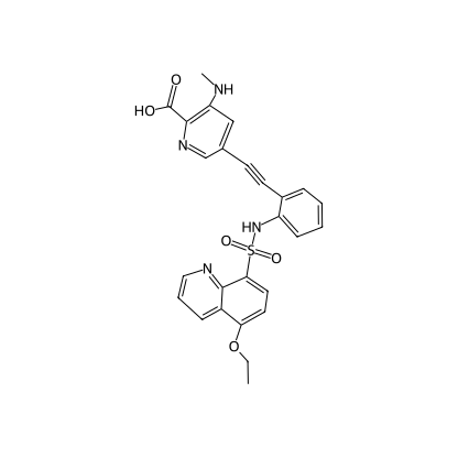 CCOc1ccc(S(=O)(=O)Nc2ccccc2C#Cc2cnc(C(=O)O)c(NC)c2)c2ncccc12